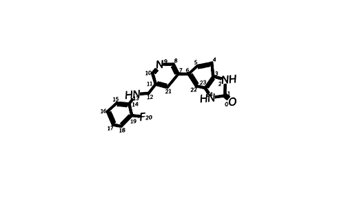 O=c1[nH]c2ccc(-c3cncc(CNc4ccccc4F)c3)cc2[nH]1